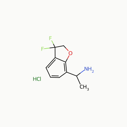 CC(N)c1cccc2c1OCC2(F)F.Cl